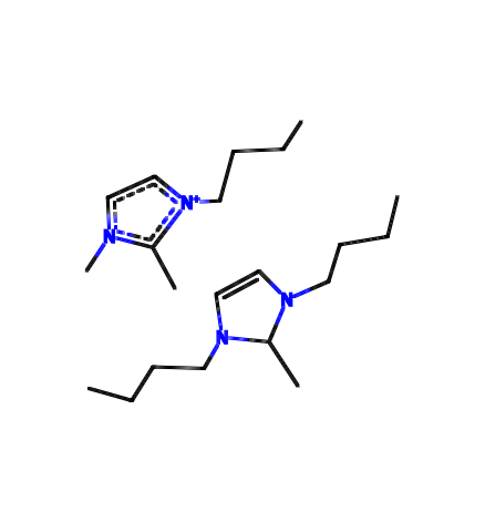 CCCCN1C=CN(CCCC)C1C.CCCC[n+]1ccn(C)c1C